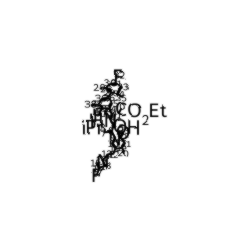 CCOC(=O)C[C@H](NC(O)C(CC(C)C)n1cc(CCN2CC(F)C2)c(C)cc1=O)c1cc(-c2c(C)cc(F)cc2C)cc(C)c1F